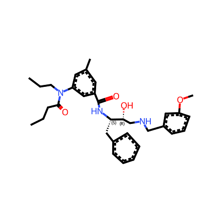 CCCC(=O)N(CCC)c1cc(C)cc(C(=O)N[C@@H](Cc2ccccc2)[C@H](O)CNCc2cccc(OC)c2)c1